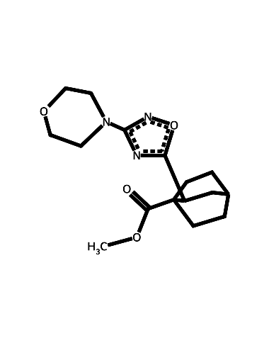 COC(=O)C12CCC(CC1)CC2c1nc(N2CCOCC2)no1